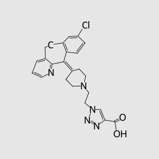 O=C(O)c1cn(CCN2CCC(=C3c4ccc(Cl)cc4CCc4cccnc43)CC2)nn1